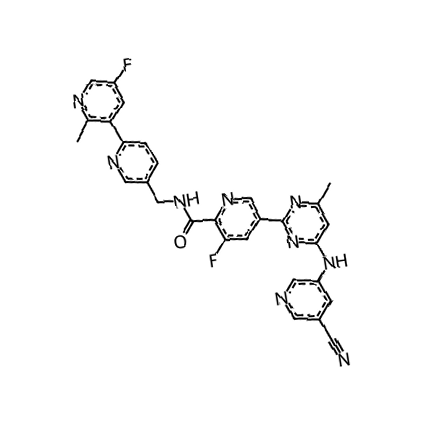 Cc1cc(Nc2cncc(C#N)c2)nc(-c2cnc(C(=O)NCc3ccc(-c4cc(F)cnc4C)nc3)c(F)c2)n1